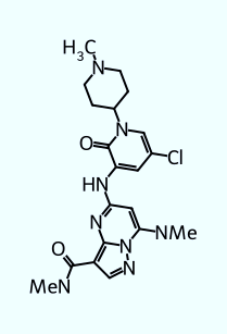 CNC(=O)c1cnn2c(NC)cc(Nc3cc(Cl)cn(C4CCN(C)CC4)c3=O)nc12